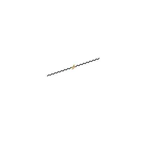 CCCCCCCCCCCCCCCCSSCCCCCCCCCCCCCCCC